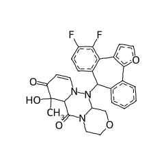 CC1(O)C(=O)C=CN2C1C(=O)N1CCOCC1N2C1c2ccccc2-c2occc2-c2c1ccc(F)c2F